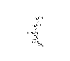 COc1ccccc1Sc1ccc(/C=C/C(=O)NCCC(=O)O)c(N)c1